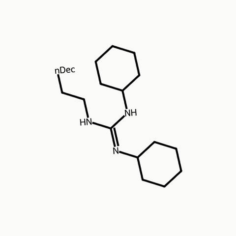 CCCCCCCCCCCCNC(=NC1CCCCC1)NC1CCCCC1